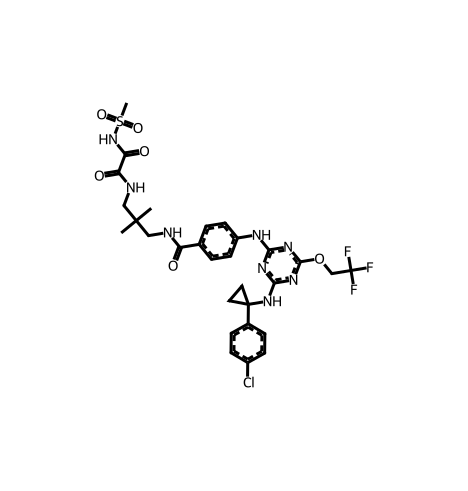 CC(C)(CNC(=O)C(=O)NS(C)(=O)=O)CNC(=O)c1ccc(Nc2nc(NC3(c4ccc(Cl)cc4)CC3)nc(OCC(F)(F)F)n2)cc1